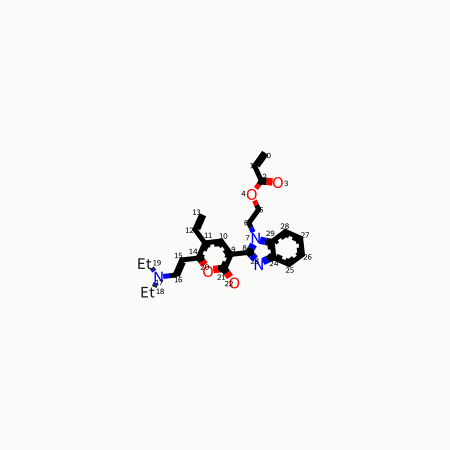 C=CC(=O)OCCn1c(-c2cc(C=C)c(/C=C/N(CC)CC)oc2=O)nc2ccccc21